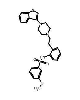 COc1cccc(S(=O)(=O)Nc2ccccc2CCN2CCN(c3nsc4ccccc34)CC2)c1